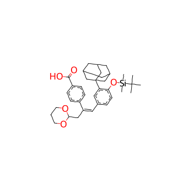 CC(C)(C)[Si](C)(C)Oc1ccc(C=C(CC2OCCCO2)c2ccc(C(=O)O)cc2)cc1C12CC3CC(CC(C3)C1)C2